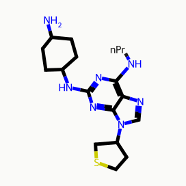 CCCNc1nc(NC2CCC(N)CC2)nc2c1ncn2C1CCSC1